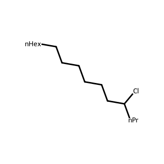 CCCCCCCCCCCCC(Cl)CCC